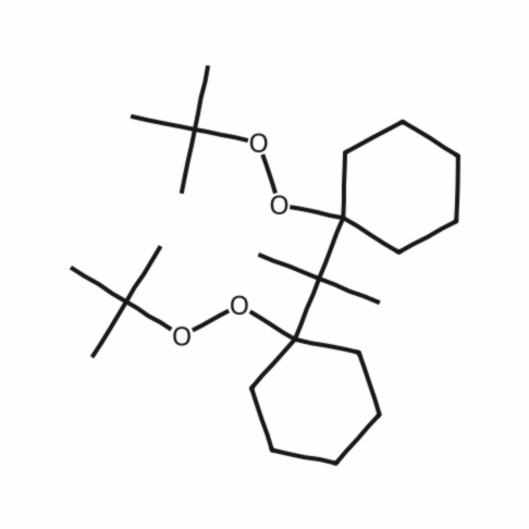 CC(C)(C)OOC1(C(C)(C)C2(OOC(C)(C)C)CCCCC2)CCCCC1